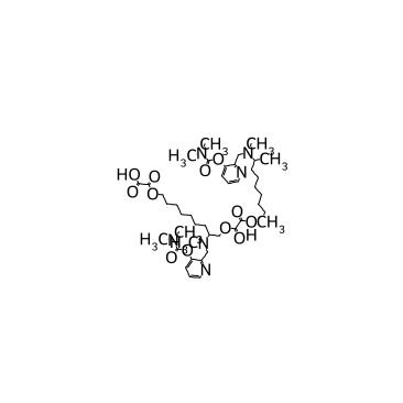 CCCCCCCC(C)N(C)Cc1ncccc1OC(=O)N(C)C.CN(C)C(=O)Oc1cccnc1CN(C)C(CCCCCCCOC(=O)C(=O)O)COC(=O)C(=O)O